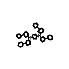 C1=CC(c2cccc(N(c3ccc(N(c4cccc(-c5ccccc5)c4)c4cccc(-c5ccccc5)c4)cc3)c3cccc(-c4ccccc4)c3)c2)=CCC1